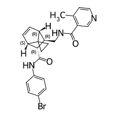 Cc1ccncc1C(=O)NC[C@H]1[C@H](C(=O)Nc2ccc(Br)cc2)[C@@H]2C=C[C@H]1C21CC1